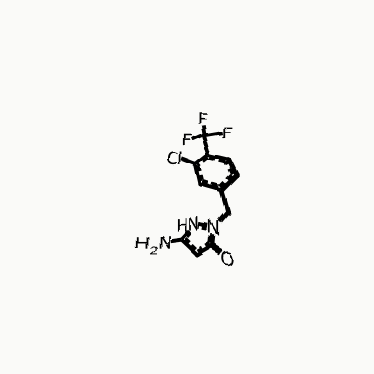 Nc1cc(=O)n(Cc2ccc(C(F)(F)F)c(Cl)c2)[nH]1